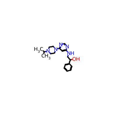 CC(C)N1CCN(c2cc(NCC(O)c3ccccc3)ncn2)CC1